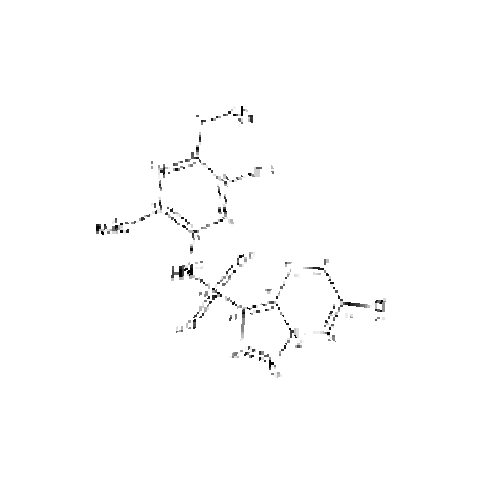 COc1nc(CC(F)(F)F)c(F)cc1NS(=O)(=O)c1cnn2cc(Cl)ccc12